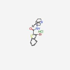 Cl.O=C(N[C@H]1CN2CCC1CC2)c1sc2ccccc2c1Br